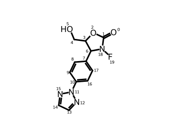 O=C1OC(CO)C(c2ccc(-n3nccn3)cc2)N1F